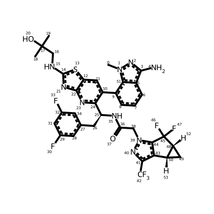 Cn1nc(N)c2cccc(-c3cc4sc(NCC(C)(C)O)nc4nc3[C@H](Cc3cc(F)cc(F)c3)NC(=O)Cn3nc(C(F)(F)F)c4c3C(F)(F)[C@@H]3C[C@H]43)c21